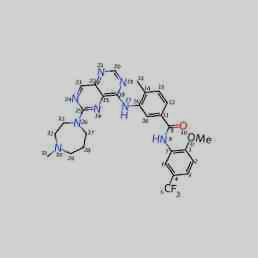 COc1ccc(C(F)(F)F)cc1NC(=O)c1ccc(C)c(Nc2ncnc3cnc(N4CCCN(C)CC4)nc23)c1